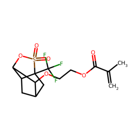 C=C(C)C(=O)OCCOC1C2CC3C1OS(=O)(=O)C3(C(F)(F)F)C2